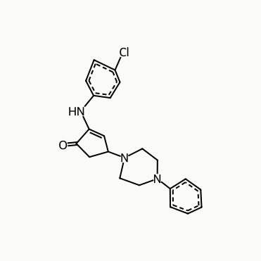 O=C1CC(N2CCN(c3ccccc3)CC2)C=C1Nc1ccc(Cl)cc1